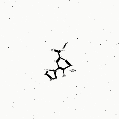 COC(=O)c1ccc(S)c(-c2cccs2)c1.[Zn]